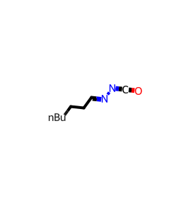 CCCCCCC=NN=C=O